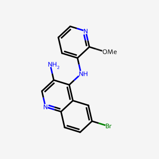 COc1ncccc1Nc1c(N)cnc2ccc(Br)cc12